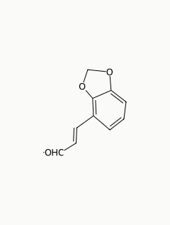 O=[C]C=Cc1cccc2c1OCO2